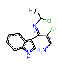 CC(Cl)/N=C(\C(Cl)=C/N)c1c[nH]c2ccccc12